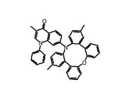 Cc1ccc2c(c1)-c1ccccc1Oc1ccccc1-c1cc(C)ccc1N2c1ccc2c(=O)c(C)cn(-c3ccccc3)c2c1